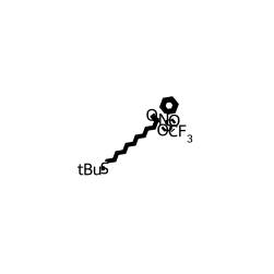 CC(C)(C)SCCCCCCCCCCC(=O)N(c1ccccc1)S(=O)(=O)C(F)(F)F